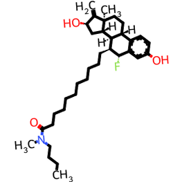 C=C1[C@H](O)C[C@H]2[C@@H]3[C@H](CCCCCCCCCCC(=O)N(C)CCCC)[C@@H](F)c4cc(O)ccc4[C@H]3CC[C@]12C